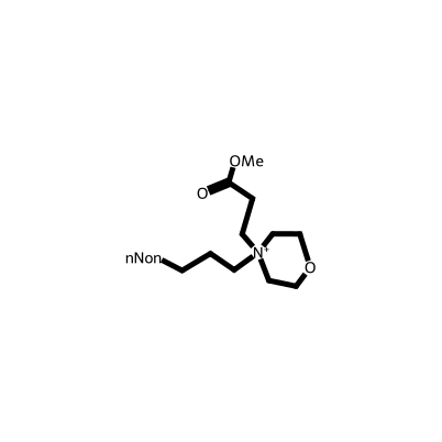 CCCCCCCCCCCC[N+]1(CCC(=O)OC)CCOCC1